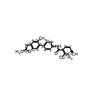 C#C/C=C\C(C(=O)Nc1ccc(-c2cc3oc(C)nc3cc2C)cn1)=C(/C)Cl